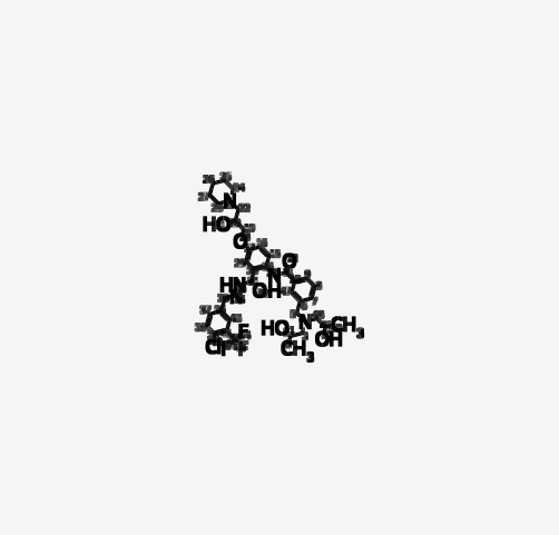 CC(O)CN(Cc1cccc(C(=O)Nc2ccc(OCC(O)CN3CCCCC3)cc2C(=O)NN=Cc2ccc(Cl)c(C(F)(F)F)c2)c1)CC(C)O